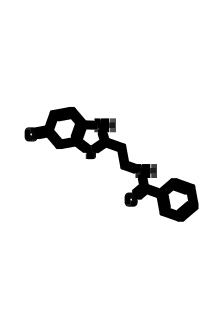 O=C1C=CC2=C(C1)SC(CCNC(=O)c1ccccc1)N2